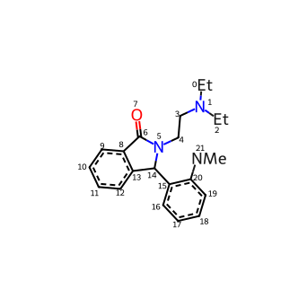 CCN(CC)CCN1C(=O)c2ccccc2C1c1ccccc1NC